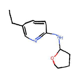 CCc1ccc(NC2CCCO2)nc1